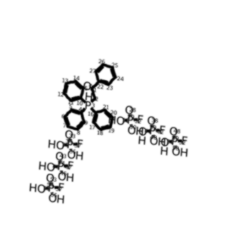 O=C(C[PH](c1ccccc1)(c1ccccc1)c1ccccc1)c1ccccc1.O=P(O)(O)F.O=P(O)(O)F.O=P(O)(O)F.O=P(O)(O)F.O=P(O)(O)F.O=P(O)(O)F